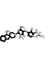 Cn1c(N2CCC3(CC2)Cc2ccccc2[C@H]3N)nc(N)c(Sc2ccnc(NS(C)(=O)=O)c2Cl)c1=O